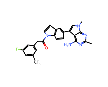 Cc1nc(N)c2c(-c3ccc4c(ccn4C(=O)Cc4cc(F)cc(C(F)(F)F)c4)c3)cn(C)c2n1